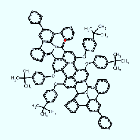 CC(C)(C)c1ccc(Oc2cc3c4c(cc(Oc5ccc(C(C)(C)C)cc5)c5c6c(Oc7ccc(C(C)(C)C)cc7)cc7c8c(cc(Oc9ccc(C(C)(C)C)cc9)c(c2c45)c86)C(=O)N(c2c(-c4ccccc4)cc(-c4ccccc4)cc2-c2ccccc2)C7=O)C(=O)N(c2c(-c4ccccc4)cc(-c4ccccc4)cc2-c2ccccc2)C3=O)cc1